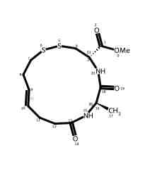 COC(=O)[C@H]1CSSCC/C=C/CCC(=O)N[C@H](C)C(=O)N1